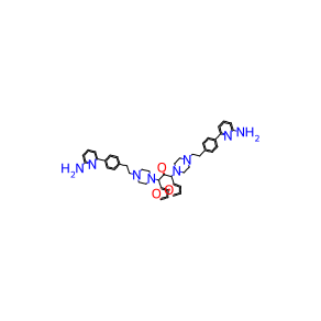 Nc1cccc(-c2ccc(CCN3CCN(C(C(=O)C(c4ccco4)N4CCN(CCc5ccc(-c6cccc(N)n6)cc5)CC4)c4ccco4)CC3)cc2)n1